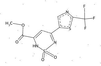 COC(=O)C1=CC(c2cnc(C(F)(F)F)s2)=NS(=O)(=O)N1